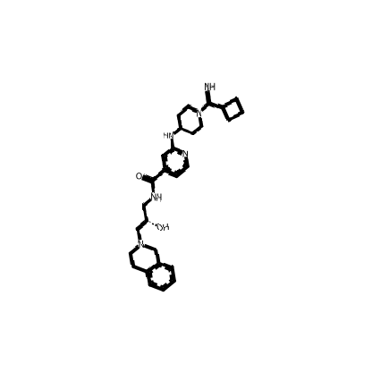 N=C(C1CCC1)N1CCC(Nc2cc(C(=O)NC[C@H](O)CN3CCc4ccccc4C3)ccn2)CC1